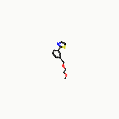 COCCOCc1cccc(-c2nccs2)c1